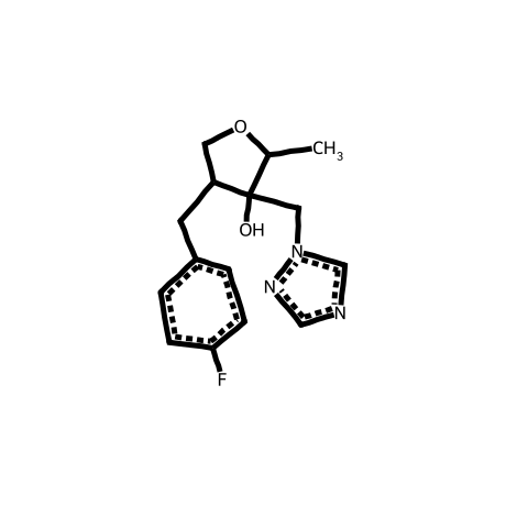 CC1OCC(Cc2ccc(F)cc2)C1(O)Cn1cncn1